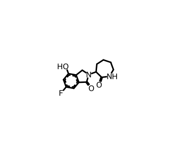 O=C1NCCCCC1N1Cc2c(O)cc(F)cc2C1=O